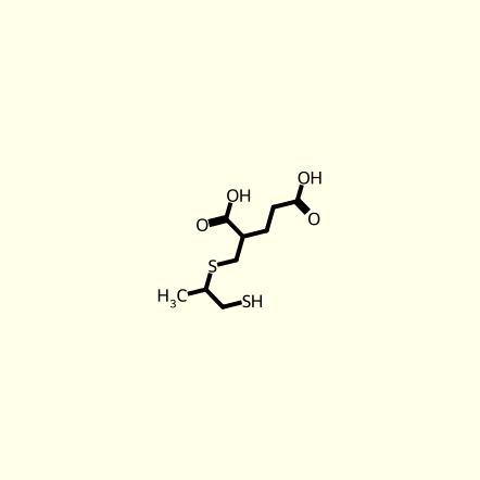 CC(CS)SCC(CCC(=O)O)C(=O)O